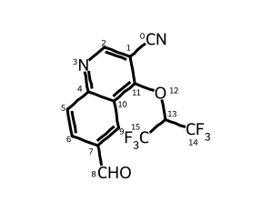 N#Cc1cnc2ccc(C=O)cc2c1OC(C(F)(F)F)C(F)(F)F